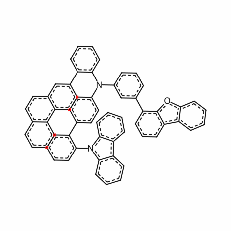 c1cc(-c2cccc3c2oc2ccccc23)cc(N(c2ccc(-c3ccccc3-n3c4ccccc4c4ccccc43)cc2)c2ccccc2-c2ccc3c(ccc4ccccc43)c2)c1